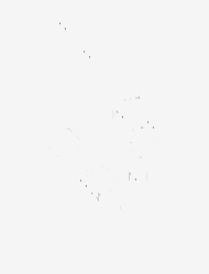 CN1CCN(C2CC(C(=O)Nc3cc(Nc4cc(-c5cc(Cl)ccc5F)nnc4SCCO)ccn3)C2)CC1